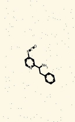 NC(Cc1ccccc1)c1cc(N=C=O)ccn1